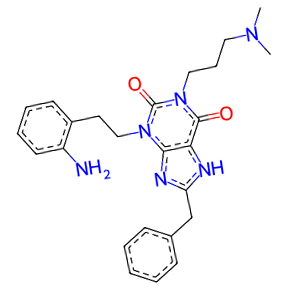 CN(C)CCCn1c(=O)c2[nH]c(Cc3ccccc3)nc2n(CCc2ccccc2N)c1=O